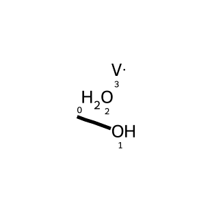 CO.O.[V]